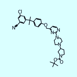 CC(C)(C)OC(=O)N1CCC(N2CCN(c3nccc(COc4ccc(C(C)(C)c5cc(Cl)cc(C#N)c5)cc4)n3)CC2)C1